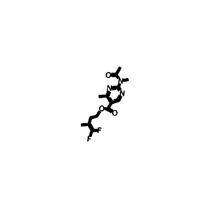 CC(=O)N(C)c1ncc(C(=O)OCCC(C)=C(F)F)c(C)n1